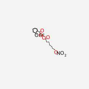 CC(=O)Oc1ccccc1C(=O)OCOC(=O)CCCCCCO[N+](=O)[O-]